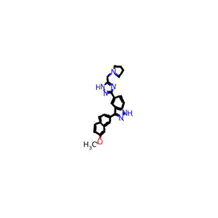 COc1ccc2ccc(-c3n[nH]c4ccc(-c5n[nH]c(CN6CCCC6)n5)cc34)cc2c1